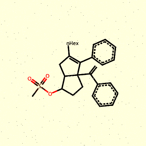 C=C(c1ccccc1)C12CCC(OS(C)(=O)=O)C1CC(CCCCCC)=C2c1ccccc1